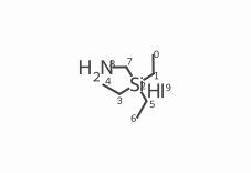 CC[Si](CC)(CC)CN.I